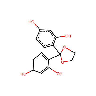 OC1=CC(O)CC=C1C1(c2ccc(O)cc2O)OCCO1